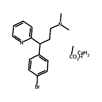 CC(=O)O.CN(C)CCC(c1ccc(Br)cc1)c1ccccn1.[CaH2]